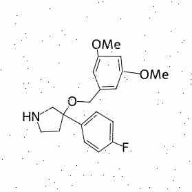 COc1cc(COC2(c3ccc(F)cc3)CCNC2)cc(OC)c1